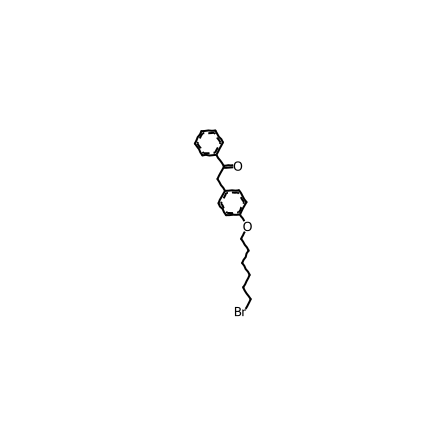 O=C(Cc1ccc(OCCCCCCBr)cc1)c1ccccc1